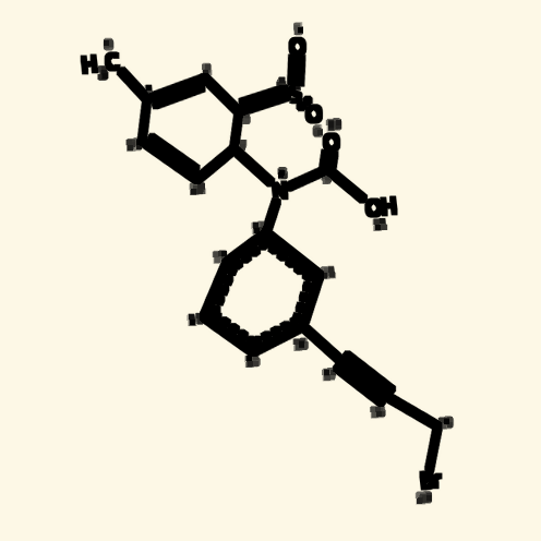 CC1=CC(=S(=O)=O)C(N(C(=O)O)c2cccc(C#CCBr)c2)C=C1